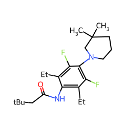 CCc1c(F)c(N2CCCC(C)(C)C2)c(F)c(CC)c1NC(=O)CC(C)(C)C